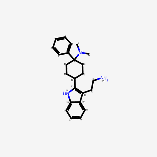 CN(C)C1(c2ccccc2)CCC(c2[nH]c3ccccc3c2CCN)CC1